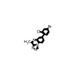 Cc1nc2cc(-c3ccc(Br)cc3Cl)ccc2n2cnnc12